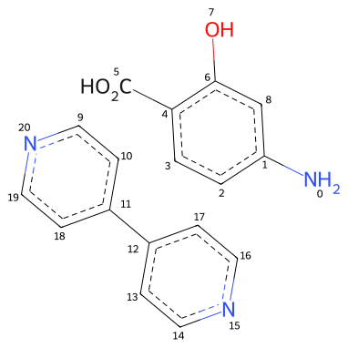 Nc1ccc(C(=O)O)c(O)c1.c1cc(-c2ccncc2)ccn1